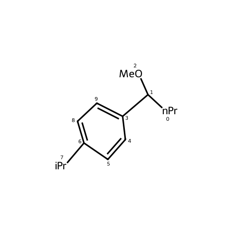 CCCC(OC)c1ccc(C(C)C)cc1